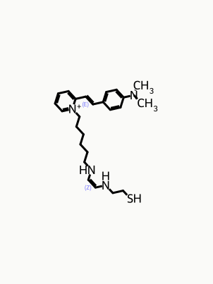 CN(C)c1ccc(/C=C/c2cccc[n+]2CCCCCCN/C=C\NCCS)cc1